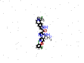 Cc1cc(Oc2c(F)cccc2F)ncc1-n1ncc(C(=O)c2cc3cc4c(cc3[nH]2)C(CF)N(C)CC4)c1N